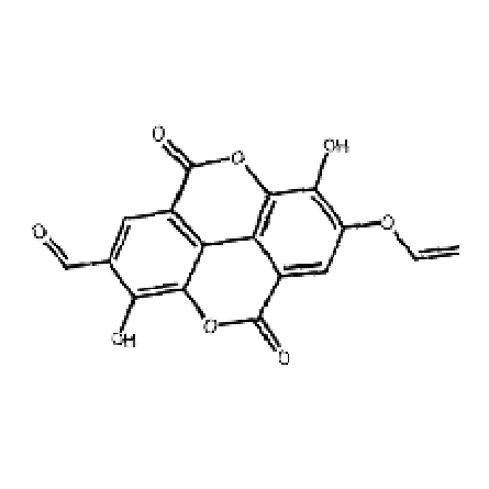 C=COc1cc2c(=O)oc3c(O)c(C=O)cc4c(=O)oc(c1O)c2c34